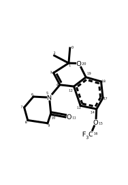 CC1(C)C=C(N2CCCCC2=O)c2cc(OC(F)(F)F)ccc2O1